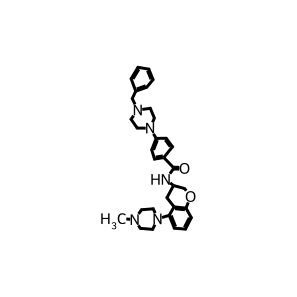 CN1CCN(c2cccc3c2CC(NC(=O)c2ccc(N4CCN(Cc5ccccc5)CC4)cc2)CO3)CC1